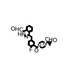 O=CC1NN=C(Cc2ccc(F)c(C(=O)N3CCN(C4(C=O)CC4)CC3)c2)c2ccccc21